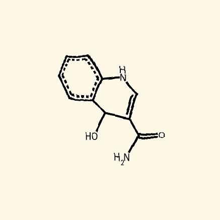 NC(=O)C1=CNc2ccccc2C1O